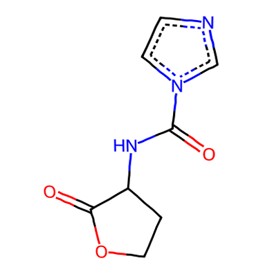 O=C1OCCC1NC(=O)n1ccnc1